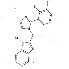 CCn1c(Cn2ccnc2-c2cccc(F)c2F)nc2cnccc21